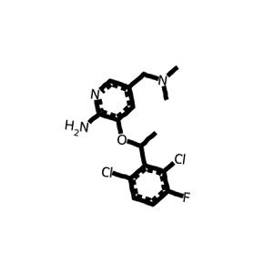 CC(Oc1cc(CN(C)C)cnc1N)c1c(Cl)ccc(F)c1Cl